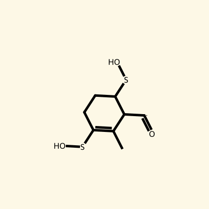 CC1=C(SO)CCC(SO)C1[C]=O